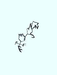 FC(F)(F)c1cccc(C2CN3CCN=C3S2)c1